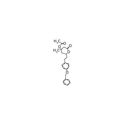 CC(=O)OC1(C)CC(=O)OC(CCc2ccc(OCc3ccccc3)cc2)C1